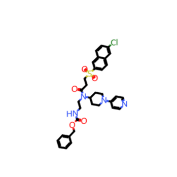 O=C(NCCN(C(=O)CCS(=O)(=O)c1ccc2cc(Cl)ccc2c1)C1CCN(c2ccncc2)CC1)OCc1ccccc1